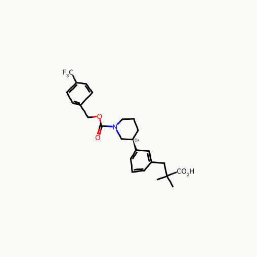 CC(C)(Cc1cccc([C@@H]2CCCN(C(=O)OCc3ccc(C(F)(F)F)cc3)C2)c1)C(=O)O